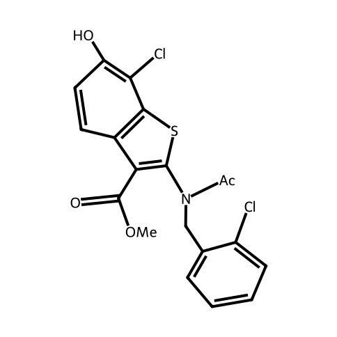 COC(=O)c1c(N(Cc2ccccc2Cl)C(C)=O)sc2c(Cl)c(O)ccc12